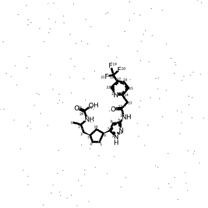 CC(C[C@@H]1CC[C@H](c2cc(NC(=O)Cc3ccc(C(F)(F)F)cn3)n[nH]2)C1)NC(=O)O